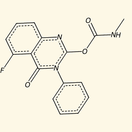 CNC(=O)Oc1nc2cccc(F)c2c(=O)n1-c1ccccc1